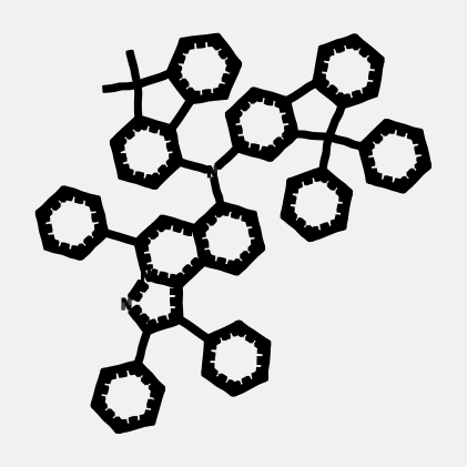 CC1(C)c2ccccc2-c2c(N(c3ccc4c(c3)C(c3ccccc3)(c3ccccc3)c3ccccc3-4)c3cccc4c3cc(-c3ccccc3)n3nc(-c5ccccc5)c(-c5ccccc5)c43)cccc21